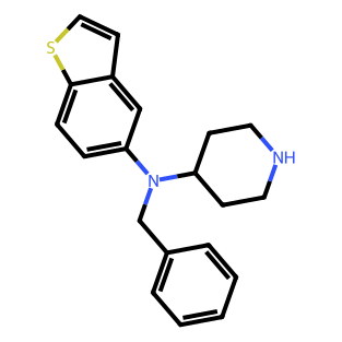 c1ccc(CN(c2ccc3sccc3c2)C2CCNCC2)cc1